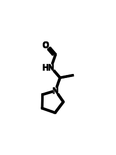 C[C](NC=O)N1CCCC1